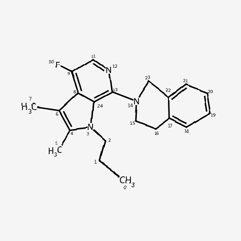 CCCn1c(C)c(C)c2c(F)cnc(N3CCc4ccccc4C3)c21